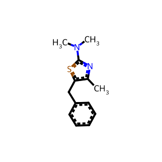 Cc1nc(N(C)C)sc1Cc1ccccc1